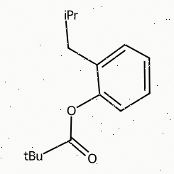 CC(C)Cc1ccccc1OC(=O)C(C)(C)C